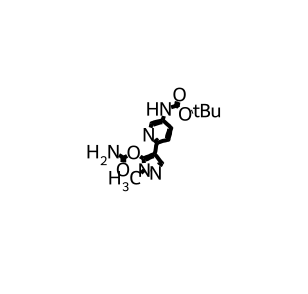 Cn1ncc(-c2ccc(NC(=O)OC(C)(C)C)cn2)c1OC(N)=O